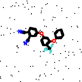 N#Cc1ccc(Oc2ccc(C(F)(F)F)c(Oc3ccccc3)c2)cc1C#N